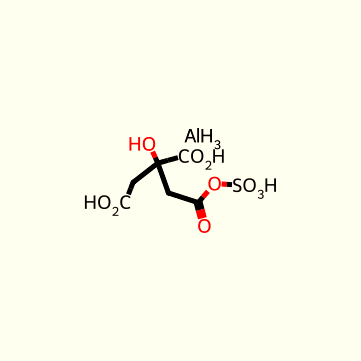 O=C(O)CC(O)(CC(=O)OS(=O)(=O)O)C(=O)O.[AlH3]